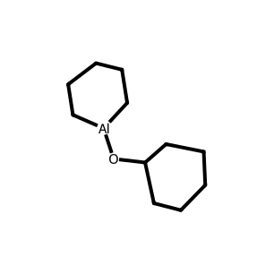 C1CCC([O][Al]2[CH2]CCC[CH2]2)CC1